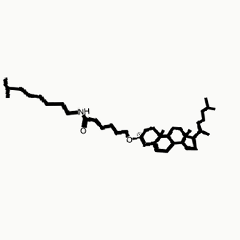 CC(C)CCCCCCNC(=O)CCCCCO[C@H]1CCC2(C)C(=CCC3C2CCC2(C)C(C(C)CCCC(C)C)CCC32)C1